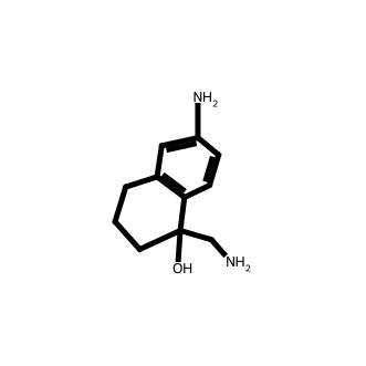 NCC1(O)CCCc2cc(N)ccc21